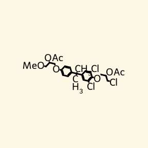 COC[C@H](COc1ccc(C(C)(C)c2cc(Cl)c(OC[C@H](CCl)OC(C)=O)c(Cl)c2)cc1)OC(C)=O